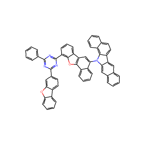 c1ccc(-c2nc(-c3ccc4c(c3)oc3ccccc34)nc(-c3cccc4c3oc3c5ccccc5c(-n5c6cc7ccccc7cc6c6ccc7ccccc7c65)cc43)n2)cc1